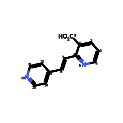 O=C(O)c1cccnc1C=Cc1ccncc1